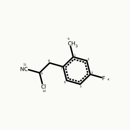 Cc1cc(F)ccc1CC(Cl)C#N